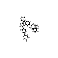 CN1CCN(c2ccc(-c3csc(C4(c5ccc(C(=O)Nc6ccccc6N)cc5)CCOCC4)n3)cn2)CC1